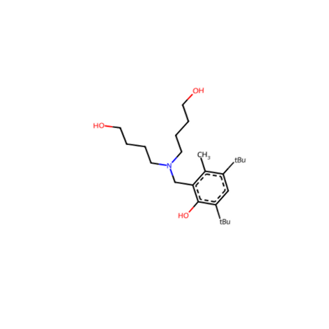 Cc1c(C(C)(C)C)cc(C(C)(C)C)c(O)c1CN(CCCCO)CCCCO